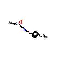 COC(=O)CCNCCSCc1ccc(OC)cc1